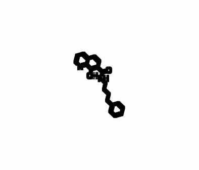 O=C(NCCCCc1ccccc1)c1ccc2cccnc2c1O